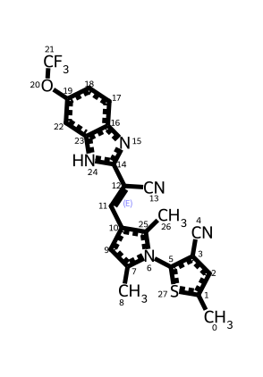 Cc1cc(C#N)c(-n2c(C)cc(/C=C(\C#N)c3nc4ccc(OC(F)(F)F)cc4[nH]3)c2C)s1